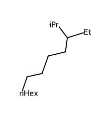 CCCCCCCCCCC(CC)[C](C)C